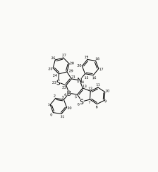 c1ccc(B2c3sc4ccccc4c3N(c3ccccc3)c3c2sc2ccccc32)cc1